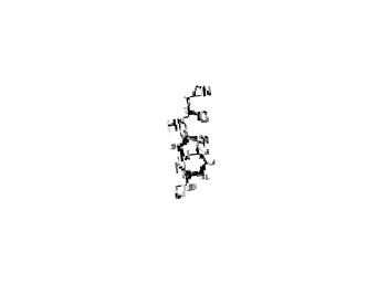 N#CCC(=O)Nc1cn2nc(Cl)ccc2n1